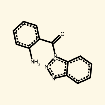 Nc1ccccc1C(=O)n1nnc2ccccc21